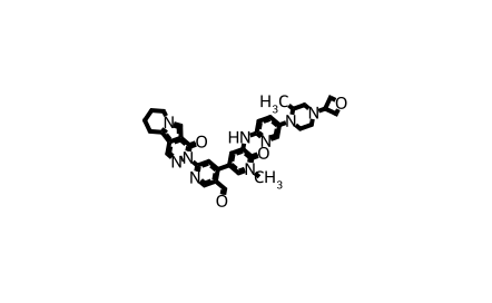 CC1CN(C2COC2)CCN1c1ccc(Nc2cc(-c3cc(-n4ncc5c6n(cc5c4=O)CCCC6)ncc3C=O)cn(C)c2=O)nc1